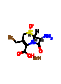 Br.N[C@@H]1C(=O)N2C(C(=O)O)=C(CBr)C[S@+]([O-])[C@H]12